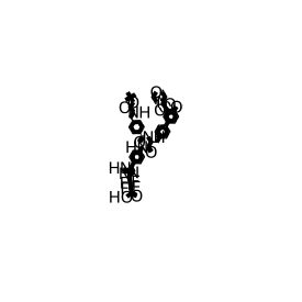 COc1ccc(-c2ccc(C[C@H](NC(=O)[C@H]3CC[C@H](CNC(=O)OC(C)(C)C)CC3)C(=O)Nc3ccc(-c4nc(C(F)(F)C(F)(F)C(=O)O)n[nH]4)cc3)cc2)cc1S(=O)(=O)N1CCOCC1